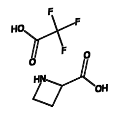 O=C(O)C(F)(F)F.O=C(O)C1CCN1